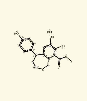 COC(=O)c1c(O)c(O)cc2c1CCNCC2c1ccc(O)cc1.Cl